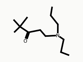 CCCN(CCC)CCC(=O)C(C)(C)C